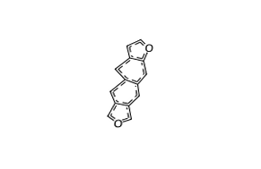 c1cc2cc3cc4cocc4cc3cc2o1